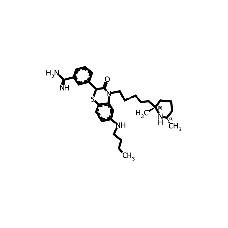 CCCCNc1ccc2c(c1)N(CCCCC[C@]1(C)CCC[C@H](C)N1)C(=O)C(c1cccc(C(=N)N)c1)S2